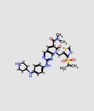 CC(C)S(=O)(=O)c1ncsc1Cn1c(=O)c(C(=O)N(C)C)cc2cnc(Nc3ccc(NC4CCNCC4)cc3)nc21